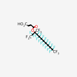 O=C(O)C=CC(=O)OC(C(F)(F)F)(C(F)(F)C(F)(F)F)C(F)(F)C(F)(F)C(F)(F)C(F)(F)C(F)(F)C(F)(F)C(F)(F)C(F)(F)C(F)(F)F